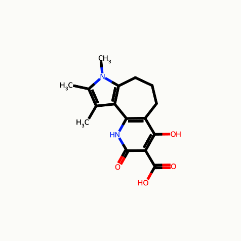 Cc1c2c(n(C)c1C)CCCc1c-2[nH]c(=O)c(C(=O)O)c1O